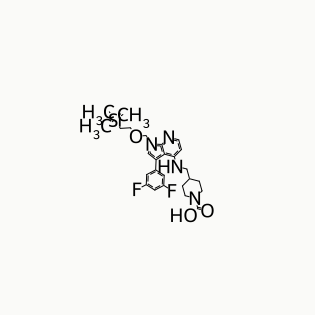 C[Si](C)(C)CCOCn1cc(-c2cc(F)cc(F)c2)c2c(NCC3CCN(C(=O)O)CC3)ccnc21